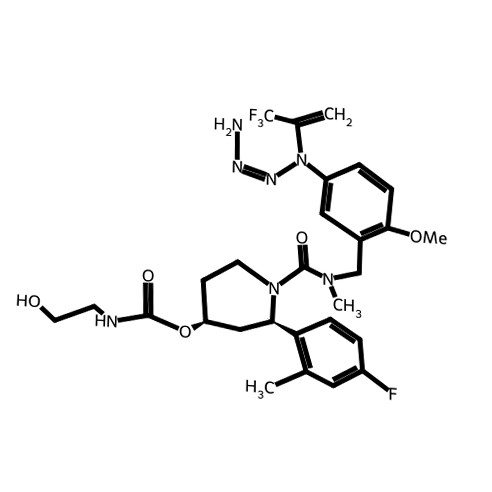 C=C(N(/N=N\N)c1ccc(OC)c(CN(C)C(=O)N2CC[C@H](OC(=O)NCCO)C[C@@H]2c2ccc(F)cc2C)c1)C(F)(F)F